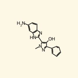 Cn1nc(-c2ccccc2)c(O)c1-c1nc2ccc(N)cc2[nH]1